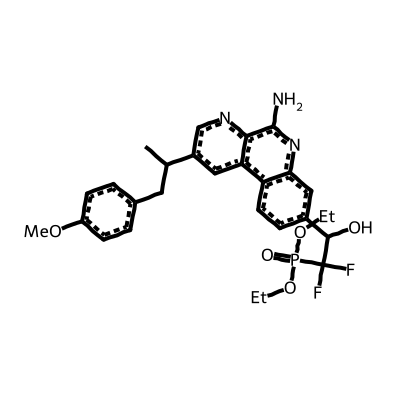 CCOP(=O)(OCC)C(F)(F)C(O)c1ccc2c(c1)nc(N)c1ncc(C(C)Cc3ccc(OC)cc3)cc12